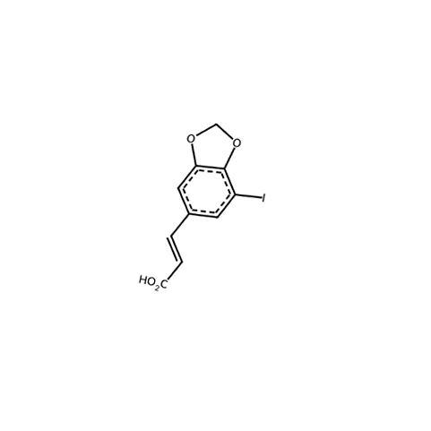 O=C(O)/C=C/c1cc(I)c2c(c1)OCO2